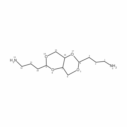 NCCCC1OCC2OC(CCCN)OCC2O1